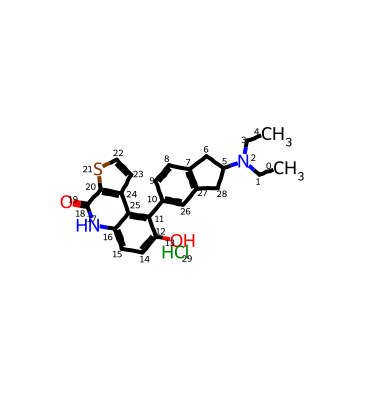 CCN(CC)C1Cc2ccc(-c3c(O)ccc4[nH]c(=O)c5sccc5c34)cc2C1.Cl